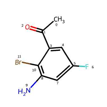 CC(=O)c1cc(F)cc(N)c1Br